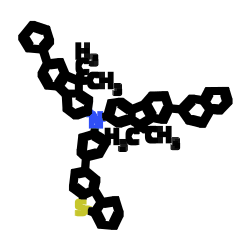 CC1(C)c2cc(-c3ccccc3)ccc2-c2ccc(N(c3ccc(-c4ccc5sc6ccccc6c5c4)cc3)c3ccc4c(c3)C(C)(C)c3cc(-c5ccc6ccccc6c5)ccc3-4)cc21